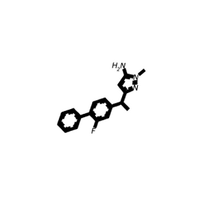 CC(c1ccc(-c2ccccc2)c(F)c1)c1cc(N)n(C)n1